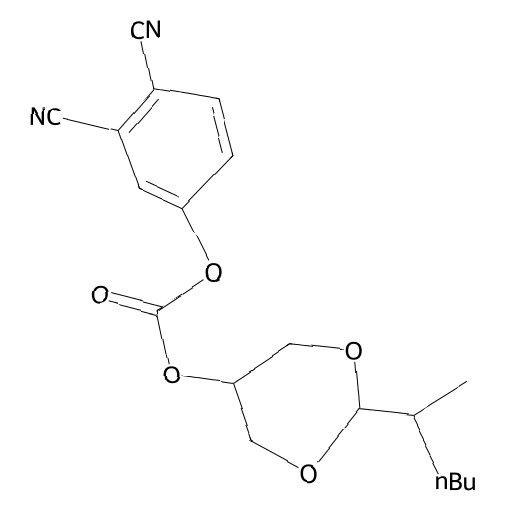 CCCCC(C)C1OCC(OC(=O)Oc2ccc(C#N)c(C#N)c2)CO1